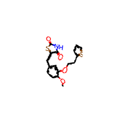 COc1ccc(C=C2SC(=O)NC2=O)cc1OCCc1cccs1